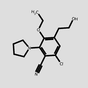 CCOc1c(CCO)cc(Cl)c(C#N)c1N1CCCC1